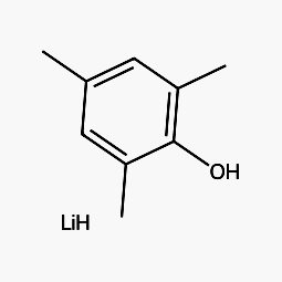 Cc1cc(C)c(O)c(C)c1.[LiH]